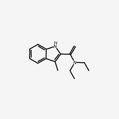 C=C(c1[nH]c2ccccc2c1C)N(CC)CC